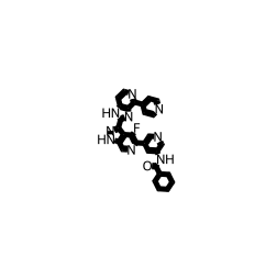 O=C(Nc1cncc(-c2ncc3[nH]nc(-c4nc5c(-c6ccncc6)nccc5[nH]4)c3c2F)c1)C1CCCCC1